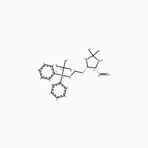 CC1(C)O[C@@H](CCO[Si](c2ccccc2)(c2ccccc2)C(C)(C)C)[C@@H](C=O)O1